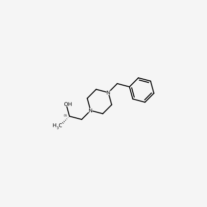 C[C@H](O)CN1CCN(Cc2ccccc2)CC1